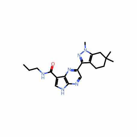 CCCNC(=O)c1c[nH]c2ncc(-c3nn(C)c4c3CCC(C)(C)C4)nc12